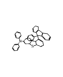 C1=CCC2C(=C1)C(C1=CCCC3SC4CC(N(c5ccccc5)c5ccccc5)CCC4C13)(c1ccccc1)C1=C2CCC=C1